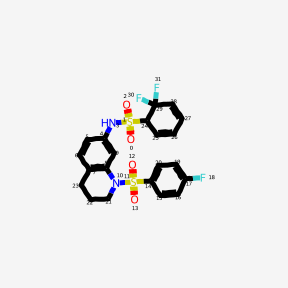 O=S(=O)(Nc1ccc2c(c1)N(S(=O)(=O)c1ccc(F)cc1)CCC2)C1C=CC=CC1(F)F